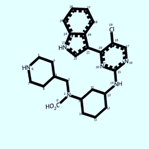 O=C(O)N(CC1CCNCC1)C1CCCC(Nc2ncc(Cl)c(-c3c[nH]c4ccccc34)n2)C1